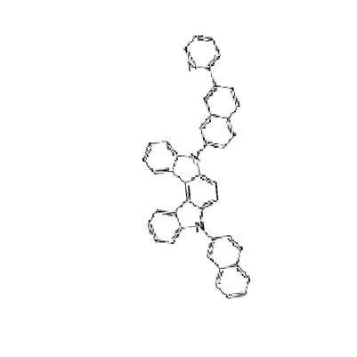 c1ccc(-c2ccc3ccc(-n4c5ccccc5c5c6c7ccccc7n(-c7ccc8ccccc8c7)c6ccc54)cc3c2)nc1